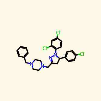 Clc1ccc(C2CC(CN3CCN(Cc4ccccc4)CC3)=NN2c2ccc(Cl)cc2Cl)cc1